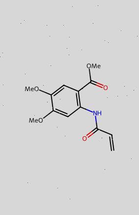 C=CC(=O)Nc1cc(OC)c(OC)cc1C(=O)OC